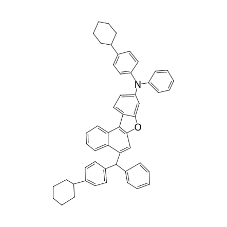 c1ccc(C(c2ccc(C3CCCCC3)cc2)c2cc3oc4cc(N(c5ccccc5)c5ccc(C6CCCCC6)cc5)ccc4c3c3ccccc23)cc1